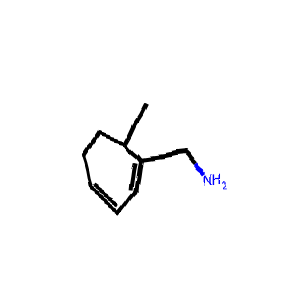 CC1CCC=CC=C1CN